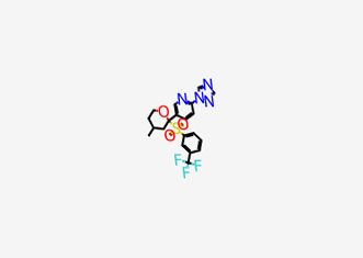 CC1CCOC(c2ccc(-n3cncn3)nc2)(S(=O)(=O)c2cccc(C(F)(F)F)c2)C1